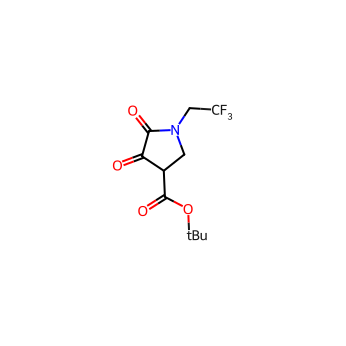 CC(C)(C)OC(=O)C1CN(CC(F)(F)F)C(=O)C1=O